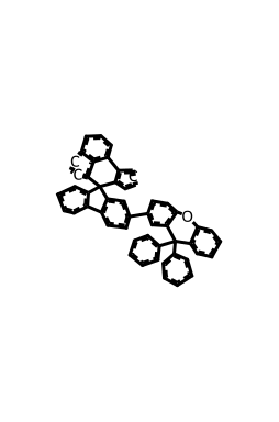 c1ccc(C2(c3ccccc3)c3ccccc3Oc3ccc(-c4ccc5c(c4)C4(c6ccccc6-5)c5ccccc5-c5cccc6cccc4c56)cc32)cc1